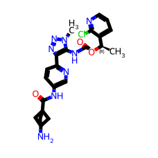 C[C@@H](OC(=O)Nc1c(-c2ccc(NC(=O)C34CC(N)(C3)C4)cn2)nnn1C)c1cccnc1Cl